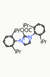 CC(C)c1cccc(C(C)C)c1-n1cc[n+](-c2c(C(C)C)cccc2C(C)C)c1C(=O)[O-]